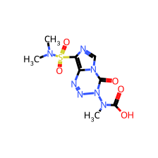 CN(C(=O)O)n1nnc2c(S(=O)(=O)N(C)C)ncn2c1=O